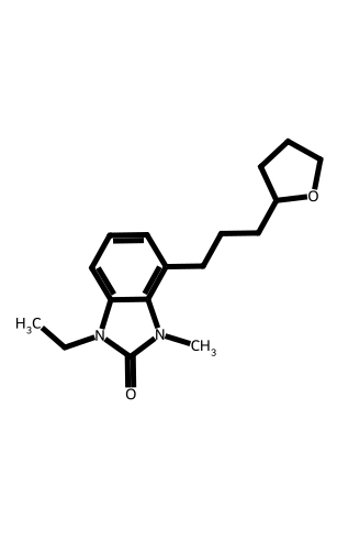 CCn1c(=O)n(C)c2c(CCCC3CCCO3)cccc21